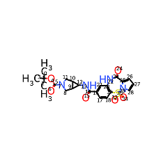 CC(C)(C)OC(=O)N1CC2C(C1)C2NC(=O)c1ccc2c(c1)NC(=O)c1cccn1S2(=O)=O